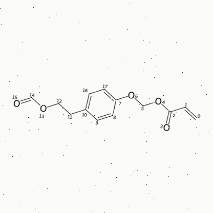 C=CC(=O)OCOc1ccc(CCOC=O)cc1